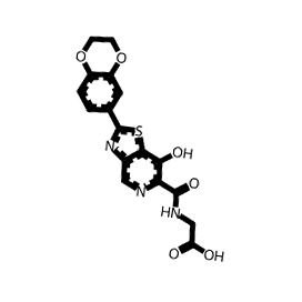 O=C(O)CNC(=O)c1ncc2nc(-c3ccc4c(c3)OCCO4)sc2c1O